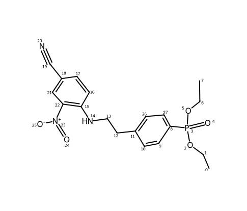 CCOP(=O)(OCC)c1ccc(CCNc2ccc(C#N)cc2[N+](=O)[O-])cc1